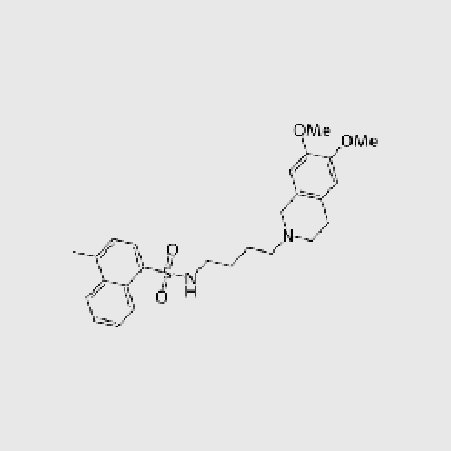 COc1cc2c(cc1OC)CN(CCCCNS(=O)(=O)c1ccc(C)c3ccccc13)CC2